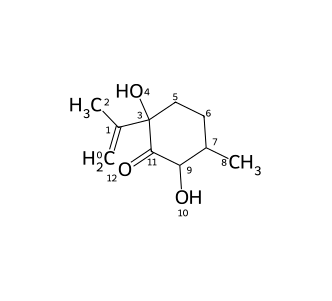 C=C(C)C1(O)CCC(C)C(O)C1=O